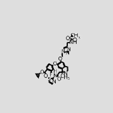 C[C@]1(CC(=O)Nc2nccs2)NCCc2cc(OCCn3cc(CNS(C)(=O)=O)nn3)c(Oc3ccc(C(=O)OC4CC4)c(F)c3)cc21